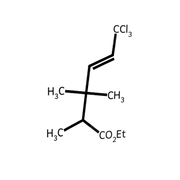 CCOC(=O)C(C)C(C)(C)/C=C/C(Cl)(Cl)Cl